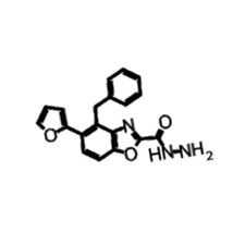 NNC(=O)c1nc2c(Cc3ccccc3)c(-c3ccco3)ccc2o1